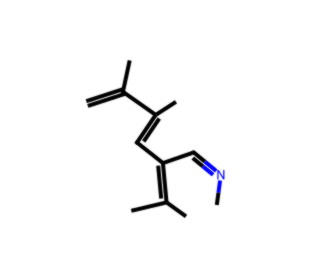 C=C(C)/C(C)=C/C(/C=N\C)=C(C)C